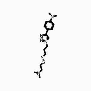 CN(C)CCSSCCCn1cc(-c2ccc(N(C)C)cc2)nn1